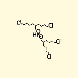 ClCCCCC(CCCCCl)COPOCC(CCCCCl)CCCCCl